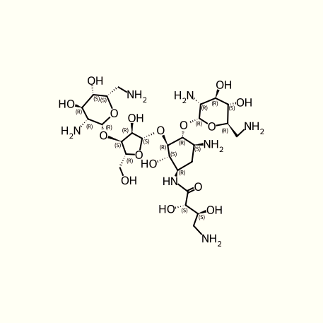 NC[C@@H]1O[C@H](O[C@H]2[C@@H](O)[C@H](O[C@@H]3[C@@H](O)[C@H](NC(=O)[C@@H](O)[C@@H](O)CN)C[C@H](N)[C@H]3O[C@H]3O[C@H](CN)[C@@H](O)[C@H](O)[C@H]3N)O[C@@H]2CO)[C@H](N)[C@@H](O)[C@@H]1O